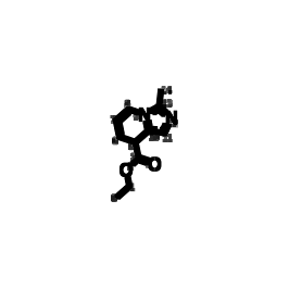 CCOC(=O)C1C=C=Cn2c1cnc2C